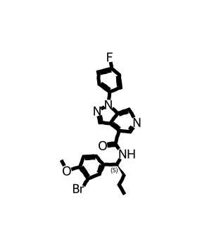 CCC[C@H](NC(=O)c1cncc2c1cnn2-c1ccc(F)cc1)c1ccc(OC)c(Br)c1